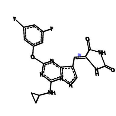 O=C1NC(=O)/C(=C/c2cnn3c(NC4CC4)nc(Oc4cc(F)cc(F)c4)nc23)N1